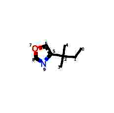 CCC(C)(C)c1cocn1